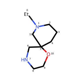 CCN1CCCC2(CNCCO2)C1